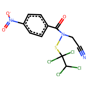 N#CCN(SC(Cl)(Cl)C(Cl)Cl)C(=O)c1ccc([N+](=O)[O-])cc1